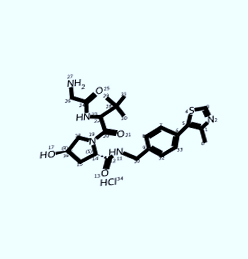 Cc1ncsc1-c1ccc(CNC(=O)[C@@H]2C[C@@H](O)CN2C(=O)C(NC(=O)CN)C(C)(C)C)cc1.Cl